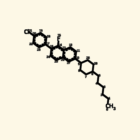 CCCCCCC1CCC(c2ccc3c(F)c(-c4ccc(Cl)cc4)ccc3c2)CC1